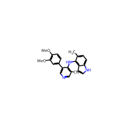 COc1ccc(-c2cncc(C#N)c2Nc2c(C)ccc3[nH]ccc23)cc1OC